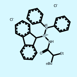 CCCCC(CC)C(=O)[NH][Ti+2]([CH]1c2ccccc2-c2ccccc21)[SiH](c1ccccc1)c1ccccc1.[Cl-].[Cl-]